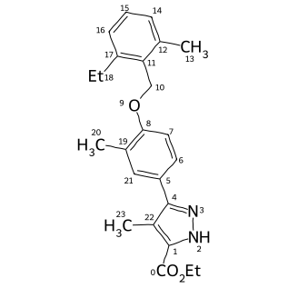 CCOC(=O)c1[nH]nc(-c2ccc(OCc3c(C)cccc3CC)c(C)c2)c1C